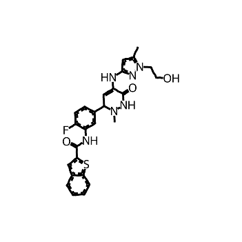 Cc1cc(NC2=CC(c3ccc(F)c(NC(=O)c4cc5ccccc5s4)c3)N(C)NC2=O)nn1CCO